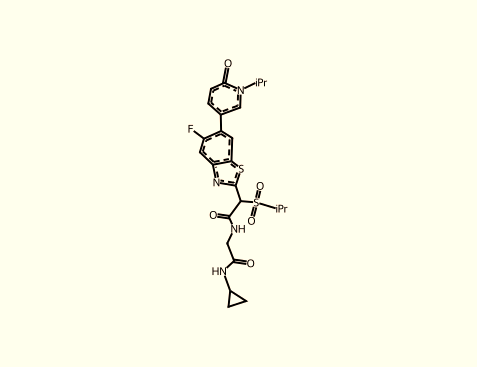 CC(C)n1cc(-c2cc3sc(C(C(=O)NCC(=O)NC4CC4)S(=O)(=O)C(C)C)nc3cc2F)ccc1=O